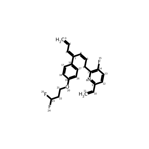 C=C/C=C(\C=C/Cc1nc(C=C)ccc1F)c1ccc(OCCC(F)F)cc1